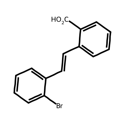 O=C(O)c1ccccc1C=Cc1ccccc1Br